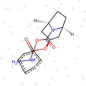 NNC(=O)O[C@H]1C[C@H]2CC[C@@H](C1)N2C(=O)Oc1ccccc1